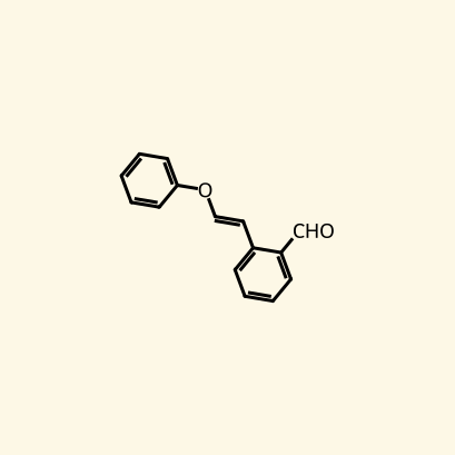 O=Cc1ccccc1/C=C/Oc1ccccc1